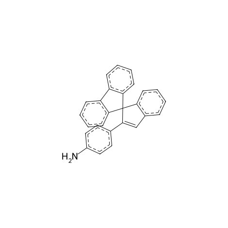 Nc1ccc(C2=Cc3ccccc3C23c2ccccc2-c2ccccc23)cc1